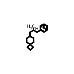 CC(Cc1cc2cc(c1)C2C)CC1CCC2(CCC2)CC1